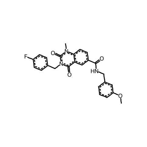 COc1cccc(CNC(=O)c2ccc3c(c2)c(=O)n(Cc2ccc(F)cc2)c(=O)n3C)c1